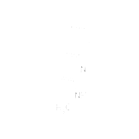 CNc1ccc2c(n1)CCCC2